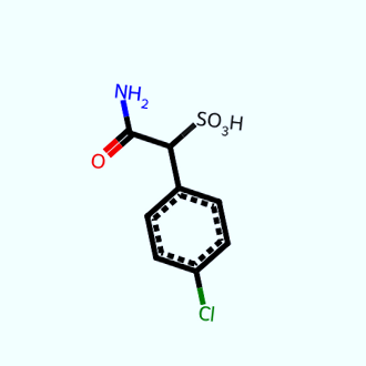 NC(=O)C(c1ccc(Cl)cc1)S(=O)(=O)O